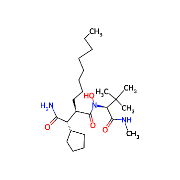 CCCCCCCC[C@@H](C(=O)N(O)[C@H](C(=O)NC)C(C)(C)C)[C@@H](C(N)=O)C1CCCC1